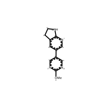 COc1ncc(-c2cnc3c(c2)CCN3)cn1